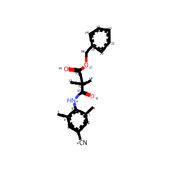 Cc1cc(C#N)cc(C)c1NC(=O)C(C)(C)C(=O)OCc1ccccc1